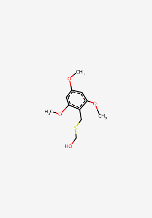 COc1cc(OC)c(CSCO)c(OC)c1